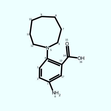 Nc1ccc(N2CCCCCCC2)c(C(=O)O)c1